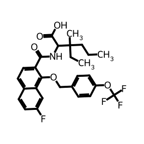 CCCC(C)(CC)C(NC(=O)c1ccc2ccc(F)cc2c1OCc1ccc(OC(F)(F)F)cc1)C(=O)O